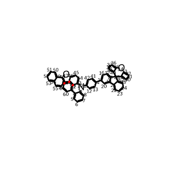 c1ccc(-c2ccccc2N(c2ccc(-c3ccc4c(c3)-c3ccccc3C43c4ccccc4Oc4ccccc43)cc2)c2ccc3oc4c5ccccc5ccc4c3c2)cc1